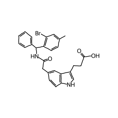 Cc1ccc(C(NC(=O)Cc2ccc3[nH]cc(CCC(=O)O)c3c2)c2ccccc2)c(Br)c1